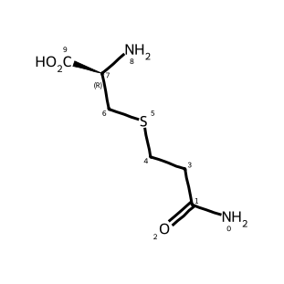 NC(=O)CCSC[C@H](N)C(=O)O